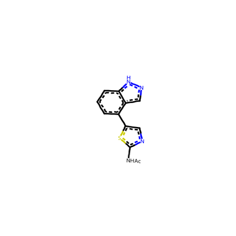 CC(=O)Nc1ncc(-c2cccc3[nH]ncc23)s1